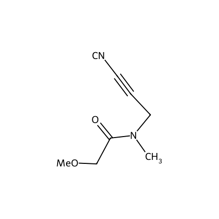 [C-]#[N+]C#CCN(C)C(=O)COC